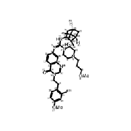 COCCCN1CCN(C(=Nc2ccc3c(=O)n(CCc4ccc(OC)cc4F)cnc3c2)NC2C[C@H]3C[C@H]([C@H]2C)C3(C)C)CC1